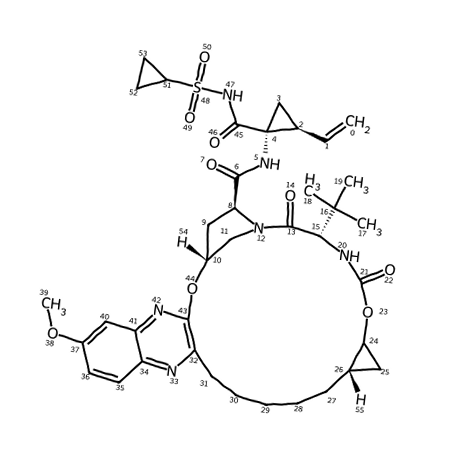 C=C[C@@H]1C[C@]1(NC(=O)[C@@H]1C[C@@H]2CN1C(=O)[C@H](C(C)(C)C)NC(=O)OC1C[C@@H]1CCCCCc1nc3ccc(OC)cc3nc1O2)C(=O)NS(=O)(=O)C1CC1